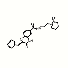 CCC1CCCCN1CCCNC(=O)c1ccc2c(c1)NC(=O)C(=Cc1ccccc1)O2